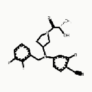 C[C@H](O)C(=O)N1CCC(N(Cc2cccc(F)c2F)c2ccc(C#N)c(Cl)c2)C1